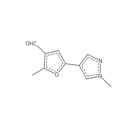 Cc1oc(-c2cnn(C)c2)cc1C=O